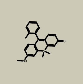 CNc1ccc2c(c1)S(C)(C)C1=CC(=O)C=CC1=C2c1ccccc1C